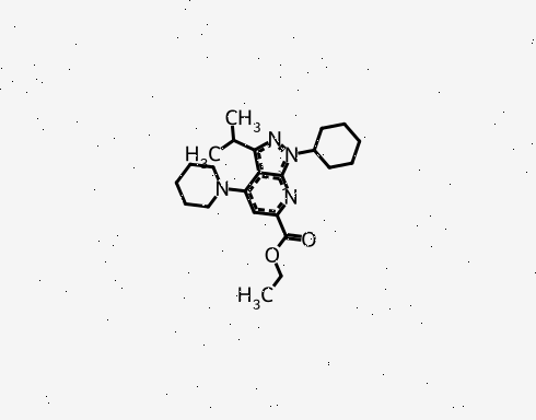 CCOC(=O)c1cc(N2CCCCC2)c2c(C(C)C)nn(C3CCCCC3)c2n1